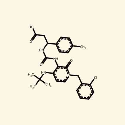 Cc1ccc(C(CC(=O)O)NC(=O)Nc2c(NC(C)(C)C)ccn(Cc3ccccc3Cl)c2=O)cc1